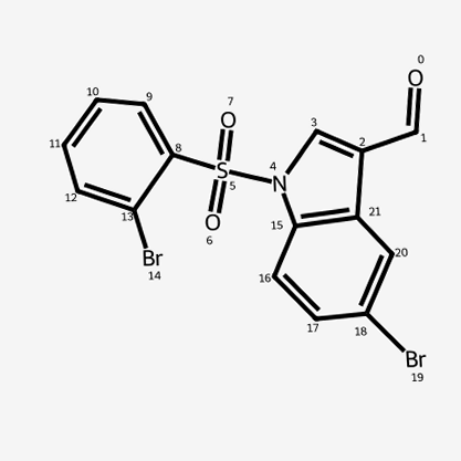 O=Cc1cn(S(=O)(=O)c2ccccc2Br)c2ccc(Br)cc12